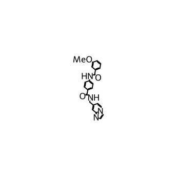 COc1cccc(C(=O)Nc2ccc(C(=O)NCc3ccn4ccnc4c3)cc2)c1